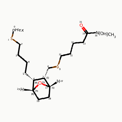 CCCCCCSCCCC[C@@H]1[C@H](CSCCCCC(=O)N(C)O)[C@@H]2CC[C@H]1O2